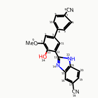 COc1cc(-c2ccc(C#N)cc2)cc(-c2nc3cc(C#N)ccc3[nH]2)c1O